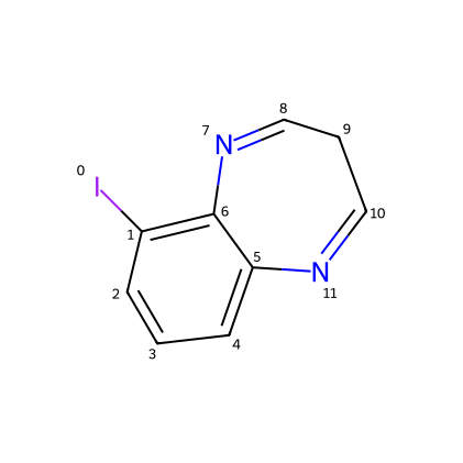 Ic1cccc2c1N=CCC=N2